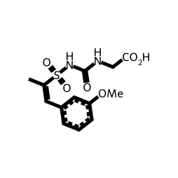 COc1cccc(C=C(C)S(=O)(=O)NC(=O)NCC(=O)O)c1